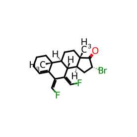 C[C@]12CCCC=C1C(=C/F)/C(=C/F)[C@@H]1[C@@H]2CC[C@]2(C)C(=O)[C@H](Br)C[C@@H]12